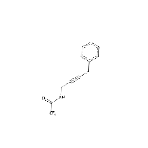 O=C(NCC#CCc1ccccc1)C(F)(F)F